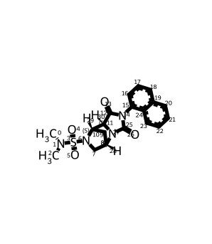 CN(C)S(=O)(=O)N1C[C@@H]2C[C@H]1[C@H]1C(=O)N(c3cccc4ccccc34)C(=O)N21